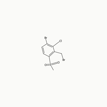 CS(=O)(=O)c1ccc(Br)c(Cl)c1CBr